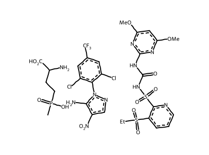 CCS(=O)(=O)c1cccnc1S(=O)(=O)NC(=O)Nc1nc(OC)cc(OC)n1.CP(=O)(O)CCC(N)C(=O)O.Nc1c([N+](=O)[O-])cnn1-c1c(Cl)cc(C(F)(F)F)cc1Cl